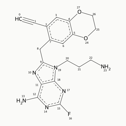 C#Cc1cc2c(cc1Cc1nc3c(N)nc(F)nc3n1CCCN)OCCO2